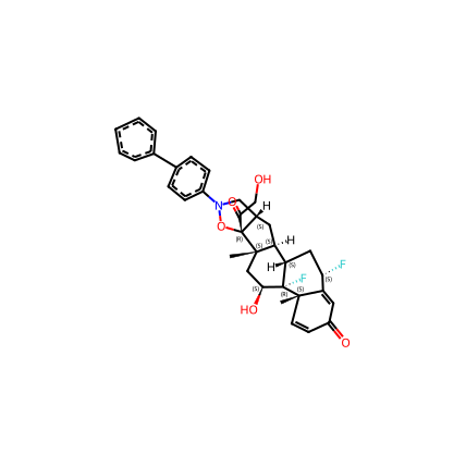 C[C@]12C=CC(=O)C=C1[C@@H](F)C[C@H]1[C@@H]3C[C@H]4CN(c5ccc(-c6ccccc6)cc5)O[C@@]4(C(=O)CO)[C@@]3(C)C[C@H](O)[C@@]12F